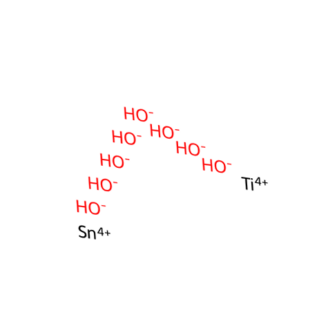 [OH-].[OH-].[OH-].[OH-].[OH-].[OH-].[OH-].[OH-].[Sn+4].[Ti+4]